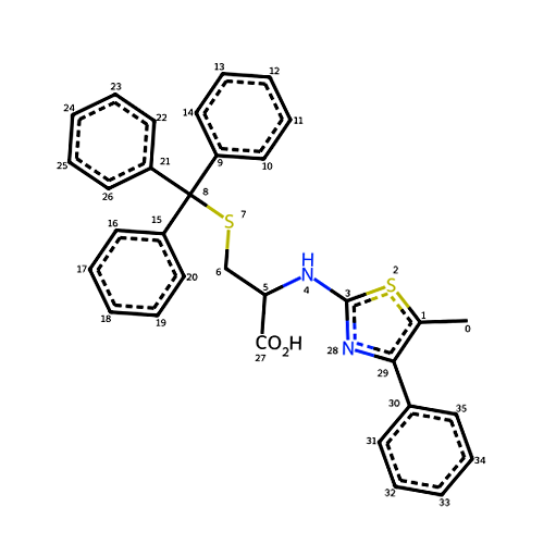 Cc1sc(NC(CSC(c2ccccc2)(c2ccccc2)c2ccccc2)C(=O)O)nc1-c1ccccc1